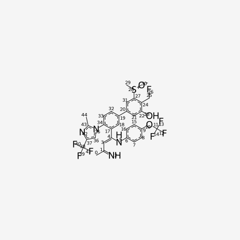 CC(=N)/C=C(\Nc1ccc(OC(F)(F)F)cc1)c1cc(-c2cc(O)c(CF)c([S+](C)[O-])c2)ccc1-n1cc(C(F)(F)F)nc1C